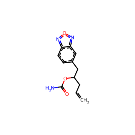 C=CCC(Cc1ccc2nonc2c1)OC(N)=O